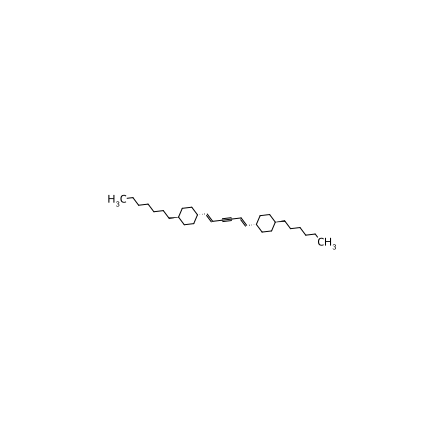 CCCCCCC[C@H]1CC[C@H](C=CC#CC=C[C@H]2CC[C@H](CCCCCC)CC2)CC1